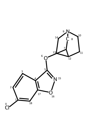 Clc1ccc2c(OC3CN4CCC3CC4)noc2c1